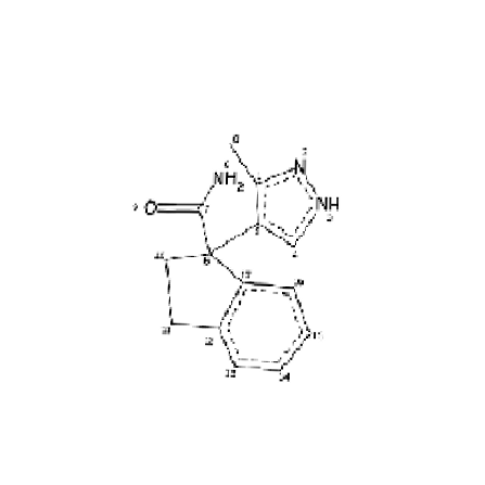 Cc1n[nH]cc1C1(C(N)=O)CCc2ccccc21